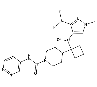 Cn1cc([S+]([O-])C2(C3CCN(C(=O)Nc4ccnnc4)CC3)CCC2)c(C(F)F)n1